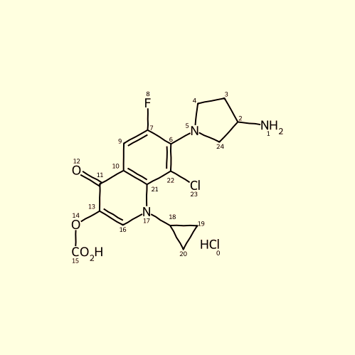 Cl.NC1CCN(c2c(F)cc3c(=O)c(OC(=O)O)cn(C4CC4)c3c2Cl)C1